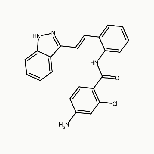 Nc1ccc(C(=O)Nc2ccccc2C=Cc2n[nH]c3ccccc23)c(Cl)c1